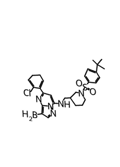 Bc1cnn2c(NCC3CCCN(S(=O)(=O)c4ccc(C(C)(C)C)cc4)C3)cc(C3=CCCC=C3Cl)nc12